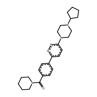 O=C(c1ccc(-c2ccc(N3CCN(C4CCCC4)CC3)nn2)cc1)N1CCCCC1